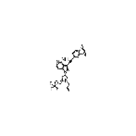 C=CCN1CC(n2nc(C#Cc3ccc4c(c3)ncn4C)c3c(N)nccc32)C[C@@H]1COC(F)(F)F